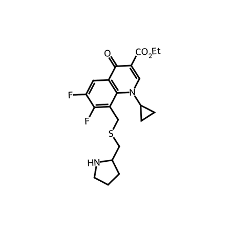 CCOC(=O)c1cn(C2CC2)c2c(CSCC3CCCN3)c(F)c(F)cc2c1=O